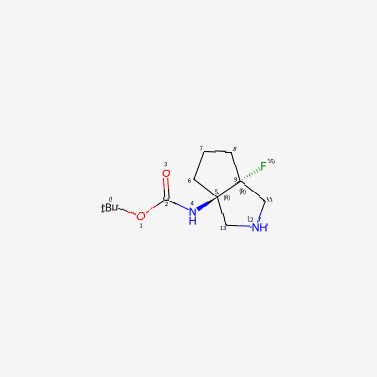 CC(C)(C)OC(=O)N[C@@]12CCC[C@@]1(F)CNC2